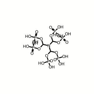 O=P(O)(O)OC(OP(=O)(O)O)N(C(OP(=O)(O)O)OP(=O)(O)O)C(OP(=O)(O)O)OP(=O)(O)O